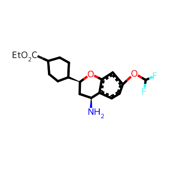 CCOC(=O)C1CCC([C@@H]2C[C@H](N)c3ccc(OC(F)F)cc3O2)CC1